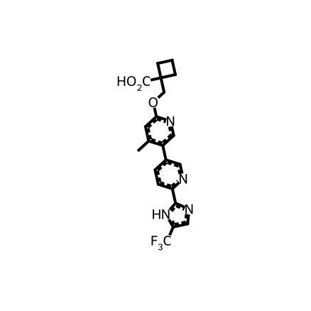 Cc1cc(OCC2(C(=O)O)CCC2)ncc1-c1ccc(-c2ncc(C(F)(F)F)[nH]2)nc1